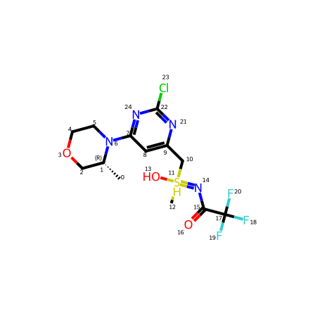 C[C@@H]1COCCN1c1cc(C[SH](C)(O)=NC(=O)C(F)(F)F)nc(Cl)n1